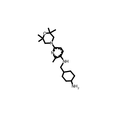 Cc1nc(N2CC(C)(C)OC(C)(C)C2)ccc1NCC1CCC(N)CC1